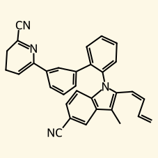 C=C/C=C\c1c(C)c2cc(C#N)ccc2n1-c1ccccc1-c1cccc(C2=CCCC(C#N)=N2)c1